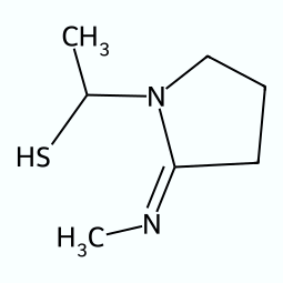 C/N=C1/CCCN1C(C)S